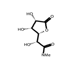 CNC(=O)[C@H](O)[C@H]1OC(=O)[C@@H](O)[C@H]1O